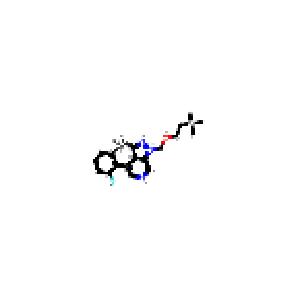 COc1cccc(F)c1-c1cncc2c1c(C(=O)O)nn2COCC[Si](C)(C)C